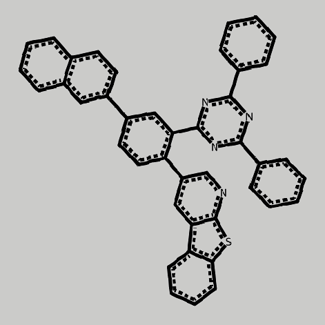 c1ccc(-c2nc(-c3ccccc3)nc(-c3cc(-c4ccc5ccccc5c4)ccc3-c3cnc4sc5ccccc5c4c3)n2)cc1